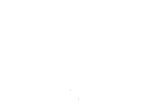 CN(CCCN)CCc1ccc2c(c1)[S+]([O-])CN2C